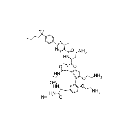 CCCCC1(c2ccc(-c3nc(C)c(C(=O)NC(CCN)C(=O)N(C)C4C(=O)NC(C)C(=O)NC(C(=O)NCC#N)Cc5ccc(OCCN)c(c5)-c5cc4ccc5OCCN)c(C)n3)cc2)CC1